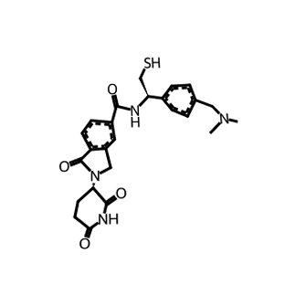 CN(C)Cc1ccc([C@H](CS)NC(=O)c2ccc3c(c2)CN([C@H]2CCC(=O)NC2=O)C3=O)cc1